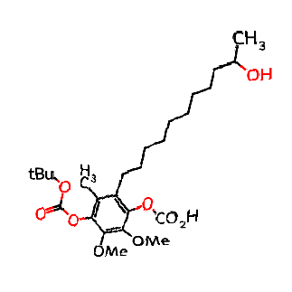 COc1c(OC(=O)OC(C)(C)C)c(C)c(CCCCCCCCCC(C)O)c(OC(=O)O)c1OC